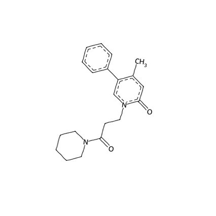 Cc1cc(=O)n(CCC(=O)N2CCCCC2)cc1-c1ccccc1